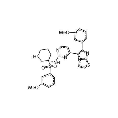 COc1cccc(-c2nc3sccn3c2-c2ccnc(N[C@@]3(S(=O)(=O)c4cccc(OC)c4)CCCNC3)n2)c1